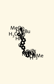 COC(=O)NC(C(=O)N1C(c2ncc(-c3ccc4c(c3)COc3cc5c(ccc6nc(C7C[C@H](C)CN7C(=O)[C@@H](NC(=O)OC)C(C)(C)C)[nH]c65)cc3-4)[nH]2)CC[C@@H]1C)C(C)C